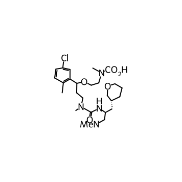 CNCC(C[C@H]1CCCOC1)NC(=O)N(C)CCC(OCCN(C)C(=O)O)c1cc(Cl)ccc1C